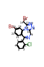 Clc1ccccc1C1=NCc2nnc(CBr)n2-c2cc(Br)ccc21